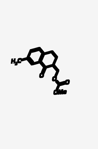 COC(=O)OCC1CCc2ccc(C)cc2C1=O